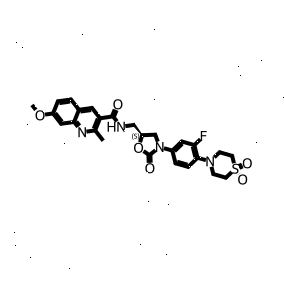 COc1ccc2cc(C(=O)NC[C@H]3CN(c4ccc(N5CCS(=O)(=O)CC5)c(F)c4)C(=O)O3)c(C)nc2c1